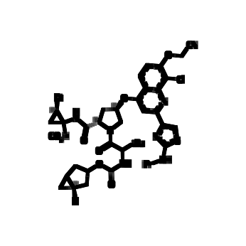 CC[C@@H]1CC1(NC(=O)[C@@H]1C[C@@H](Oc2cc(-c3csc(NC(C)C)n3)nc3c(Cl)c(OCC#N)ccc23)CN1C(=O)C(NC(=O)OC1CC2C[C@H]2C1)C(C)(C)C)C(=O)O